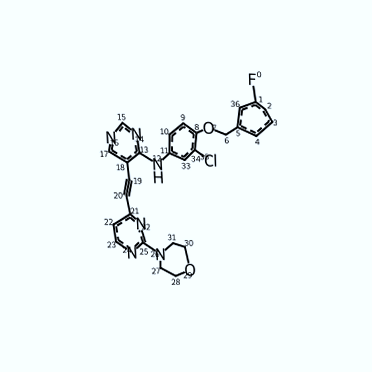 Fc1cccc(COc2ccc(Nc3ncncc3C#Cc3ccnc(N4CCOCC4)n3)cc2Cl)c1